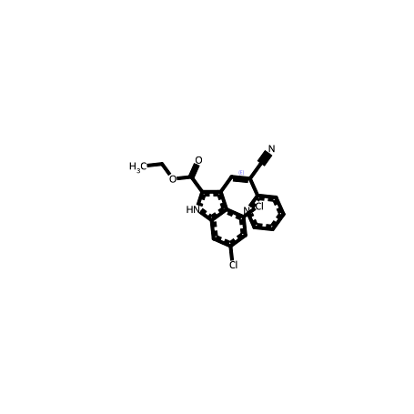 CCOC(=O)c1[nH]c2cc(Cl)cc(Cl)c2c1/C=C(/C#N)c1ccccn1